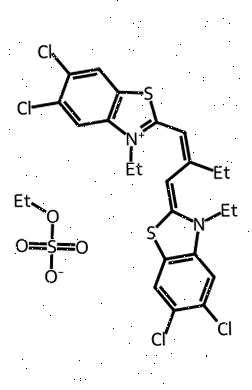 CCC(=Cc1sc2cc(Cl)c(Cl)cc2[n+]1CC)C=C1Sc2cc(Cl)c(Cl)cc2N1CC.CCOS(=O)(=O)[O-]